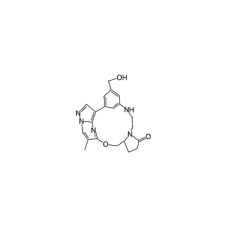 Cc1cn2ncc3c2nc1OCC1CCC(=O)N1CCNc1cc(CO)cc-3c1